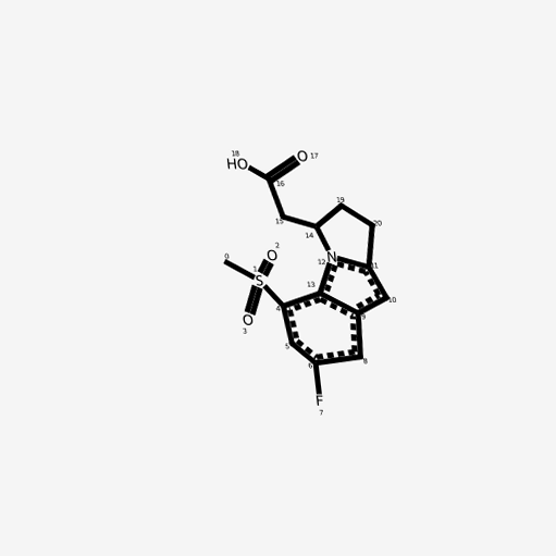 CS(=O)(=O)c1cc(F)cc2cc3n(c12)C(CC(=O)O)CC3